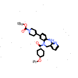 CC(C)O[C@H]1CC[C@H](C(=O)N2Cc3cccnc3Nc3ccc(C4=CCN(C(=O)OC(C)(C)C)CC4)cc32)CC1